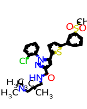 CN(C)CC(C)(C)CNC(=O)c1cc(-c2ccc(-c3cccc(S(C)(=O)=O)c3)s2)n(-c2ccccc2Cl)n1